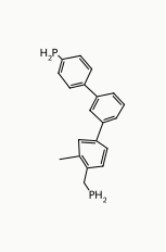 Cc1cc(-c2cccc(-c3ccc(P)cc3)c2)ccc1CP